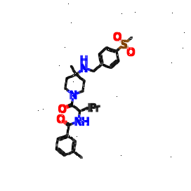 Cc1cccc(C(=O)N[C@@H](C(=O)N2CCC(C)(NCc3ccc(S(C)(=O)=O)cc3)CC2)C(C)C)c1